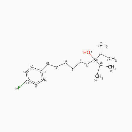 CC(C)[Si](O)(CCCCCCc1ccc(F)cc1)C(C)C